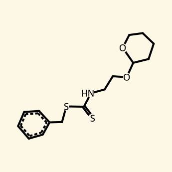 S=C(NCCOC1CCCCO1)SCc1ccccc1